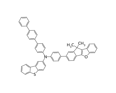 CC1(C)c2cc(-c3ccc(N(c4ccc(-c5ccc(-c6ccccc6)cc5)cc4)c4ccc5sc6ccccc6c5c4)cc3)ccc2-c2oc3ccccc3c21